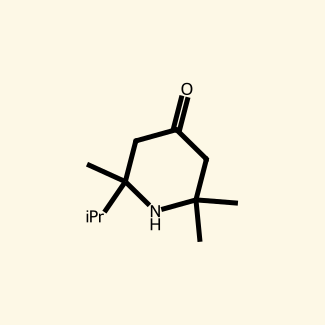 CC(C)C1(C)CC(=O)CC(C)(C)N1